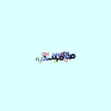 CCN(C/C=C/c1cnc(N)c2c(-c3ccc(NC(=O)c4cc5ccccc5n4C)c(OC)c3)csc12)CCO